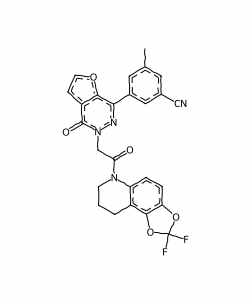 Cc1cc(C#N)cc(-c2nn(CC(=O)N3CCCc4c3ccc3c4OC(F)(F)O3)c(=O)c3ccoc23)c1